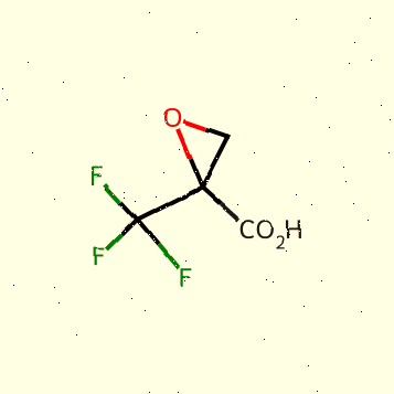 O=C(O)C1(C(F)(F)F)CO1